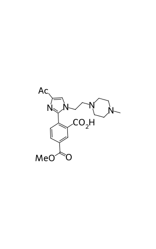 COC(=O)c1ccc(-c2nc(C(C)=O)cn2CCN2CCN(C)CC2)c(C(=O)O)c1